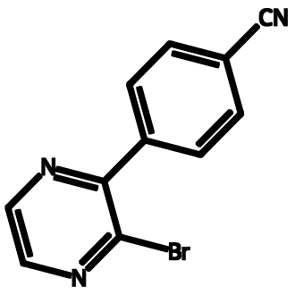 N#Cc1ccc(-c2nccnc2Br)cc1